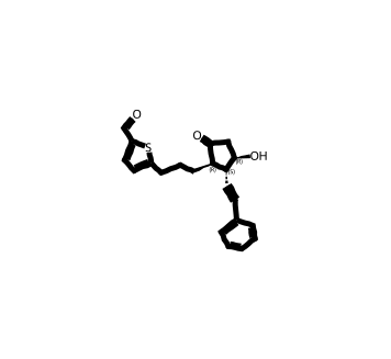 O=Cc1ccc(CCC[C@H]2C(=O)C[C@@H](O)[C@@H]2C#Cc2ccccc2)s1